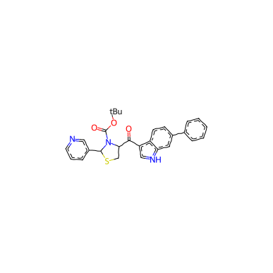 CC(C)(C)OC(=O)N1C(C(=O)c2c[nH]c3cc(-c4ccccc4)ccc23)CSC1c1cccnc1